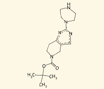 CC(C)(C)OC(=O)N1CCc2nc(N3CCNCC3)ncc2C1